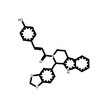 O=C(/C=C/c1ccc(O)cc1)N1CCc2c([nH]c3ccccc23)C1c1ccc2c(c1)OCO2